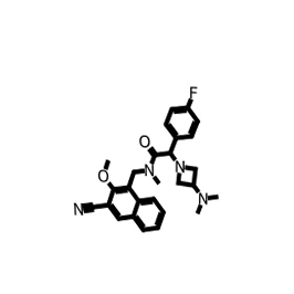 COc1c(C#N)cc2ccccc2c1CN(C)C(=O)C(c1ccc(F)cc1)N1CC(N(C)C)C1